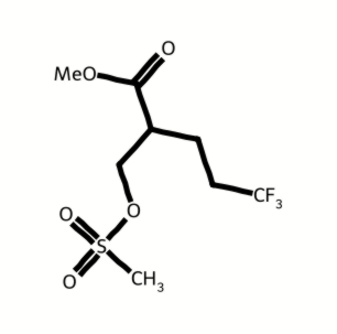 COC(=O)C(CCC(F)(F)F)COS(C)(=O)=O